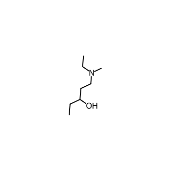 CCC(O)CCN(C)CC